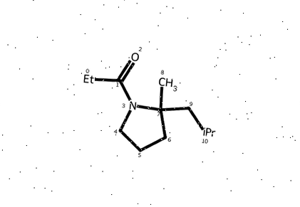 CCC(=O)N1CCCC1(C)CC(C)C